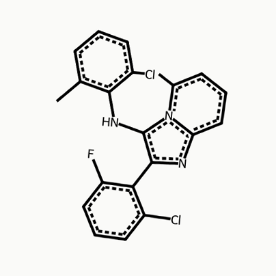 Cc1cccc(Cl)c1Nc1c(-c2c(F)cccc2Cl)nc2cccc(C)n12